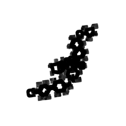 NC1CC2CCC(C1)N2C(=O)[C@@H]1CN(Cc2ccc(-c3ccc(Cl)cc3)cc2)CCN1S(=O)(=O)c1ccc2cc(OC3CCCC3)ccc2c1